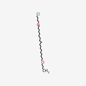 CCCCOCCCCCCCCC[CH]CCCCCCCCOCCCCCl